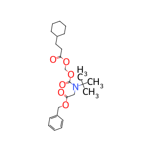 CC(C)(C)N(CC(=O)OCc1ccccc1)C(=O)OCOC(=O)CCC1CCCCC1